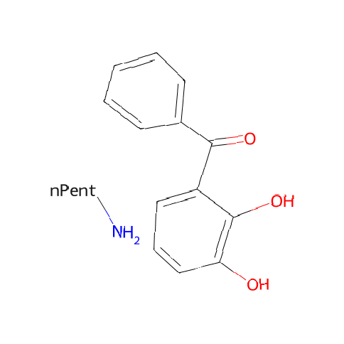 CCCCCN.O=C(c1ccccc1)c1cccc(O)c1O